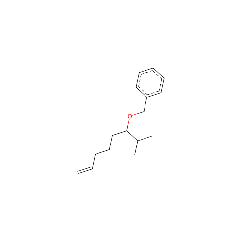 C=CCCCC(OCc1ccccc1)C(C)C